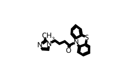 Cc1nccn1CCCC(=O)N1c2ccccc2Sc2ccccc21